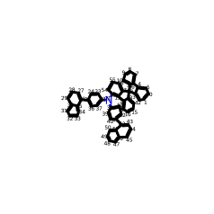 c1ccc2c(c1)-c1ccccc1C21c2ccccc2-c2c(N(c3ccc(-c4cccc5ccccc45)cc3)c3ccc(-c4cccc5ccccc45)cc3)cccc21